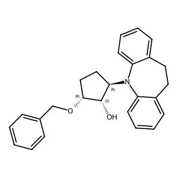 O[C@H]1[C@H](N2c3ccccc3CCc3ccccc32)CC[C@H]1OCc1ccccc1